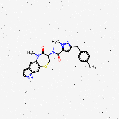 Cc1ccc(Cc2cc(C(=O)N[C@H]3CSc4cc5[nH]ccc5cc4N(C)C3=O)n(C)n2)cc1